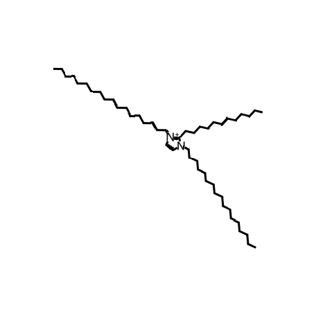 CCCCCCCCCCCCCCCCCC[n+]1ccn(CCCCCCCCCCCCCCCCC)c1CCCCCCCCCCCC